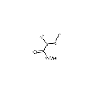 CNC(=O)C(CI)C(C)C